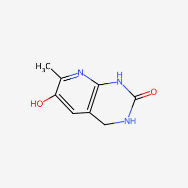 Cc1nc2c(cc1O)CNC(=O)N2